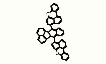 c1ccc2c(c1)Oc1ccc(C3=c4ccccc4=C(c4ccc5c6c(cccc46)-c4ccccc4O5)C4c5cccc6cccc(c56)C34)c3cccc-2c13